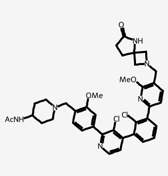 COc1cc(-c2nccc(-c3cccc(-c4ccc(CN5CC6(CCC(=O)N6)C5)c(OC)n4)c3Cl)c2Cl)ccc1CN1CCC(NC(C)=O)CC1